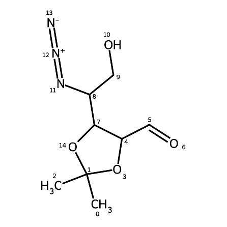 CC1(C)OC(C=O)C(C(CO)N=[N+]=[N-])O1